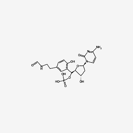 Nc1ccn([C@H]2C[C@H](O)[C@@H](C(OP(=O)(O)O)c3cc(CCNC=O)ccc3O)O2)c(=O)n1